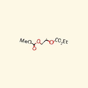 CCOC(=O)O[CH]COC(=O)OC